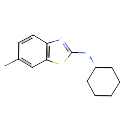 O[C@@H]1CCCC[C@H]1Nc1nc2ccc(I)cc2s1